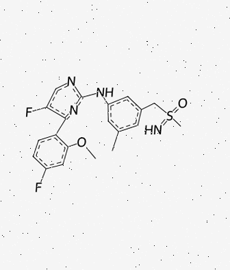 COc1cc(F)ccc1-c1nc(Nc2cc(C)cc(CS(C)(=N)=O)c2)ncc1F